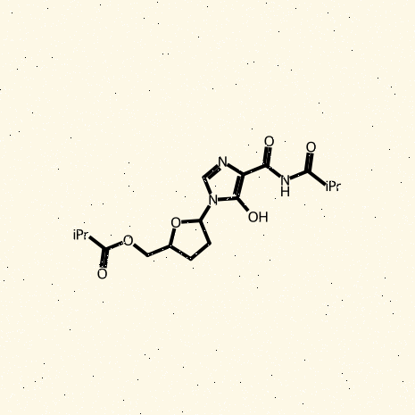 CC(C)C(=O)NC(=O)c1ncn(C2CCC(COC(=O)C(C)C)O2)c1O